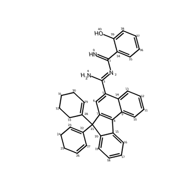 N=C(/N=C(\N)c1cc2c(c3ccccc13)-c1ccccc1C2(C1=CCCC=C1)C1=CCCCC1)c1ccccc1O